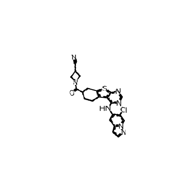 N#CC1CN(C(=O)C2CCc3c(sc4ncnc(Nc5cc6ccnn6cc5Cl)c34)C2)C1